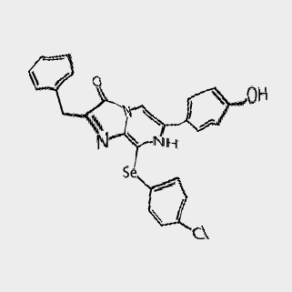 O=c1c(Cc2ccccc2)nc2c([Se]c3ccc(Cl)cc3)[nH]c(-c3ccc(O)cc3)cn1-2